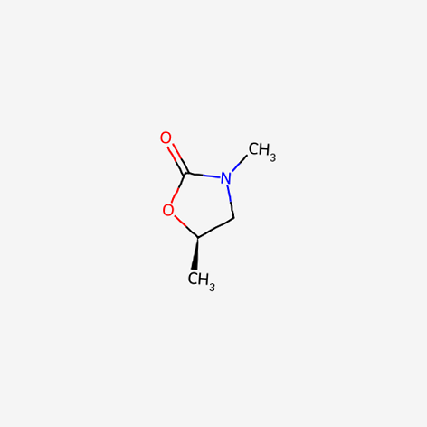 C[C@@H]1CN(C)C(=O)O1